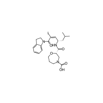 CC(C)C[C@@H](/C=C(/I)C(=O)N1CCc2ccccc21)NC(=O)[C@@H]1CN(C(=O)O)CCCO1